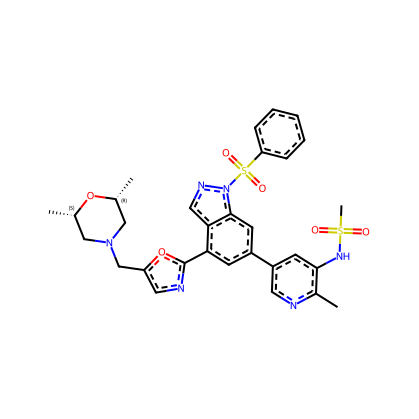 Cc1ncc(-c2cc(-c3ncc(CN4C[C@@H](C)O[C@@H](C)C4)o3)c3cnn(S(=O)(=O)c4ccccc4)c3c2)cc1NS(C)(=O)=O